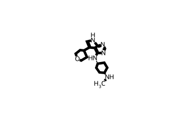 CN[C@H]1CC[C@H](Nc2ncnc3[nH]cc(C4CCOCC4)c23)CC1